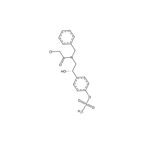 CS(=O)(=O)Oc1ccc([C@H](O)CN(Cc2ccccc2)C(=O)CCl)cc1